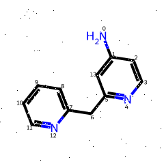 Nc1ccnc(Cc2ccccn2)c1